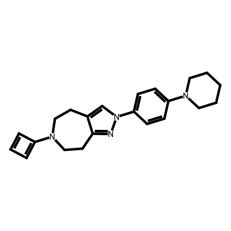 C1=CC(N2CCc3cn(-c4ccc(N5CCCCC5)cc4)nc3CC2)=C1